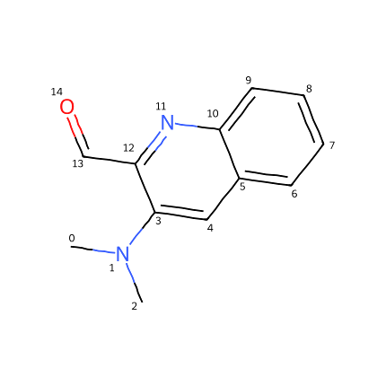 CN(C)c1cc2ccccc2nc1C=O